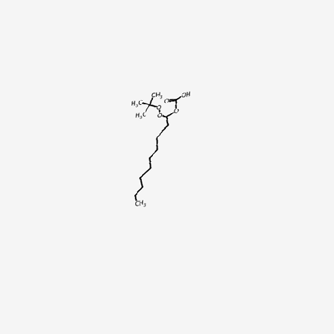 CCCCCCCCCC(OOC(C)(C)C)OC(=O)O